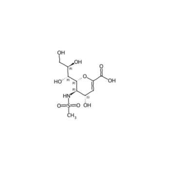 CS(=O)(=O)N[C@H]1[C@H]([C@H](O)[C@H](O)CO)OC(C(=O)O)=C[C@@H]1O